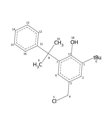 CC(C)(C)c1cc(CCl)cc(C(C)(C)c2ccccc2)c1O